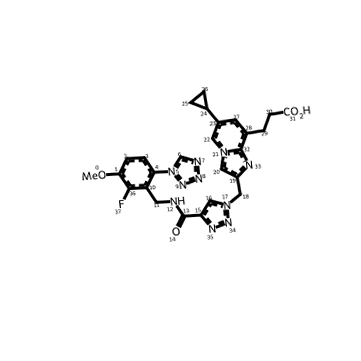 COc1ccc(-n2cnnn2)c(CNC(=O)c2cn(Cc3cn4cc(C5CC5)cc(CCC(=O)O)c4n3)nn2)c1F